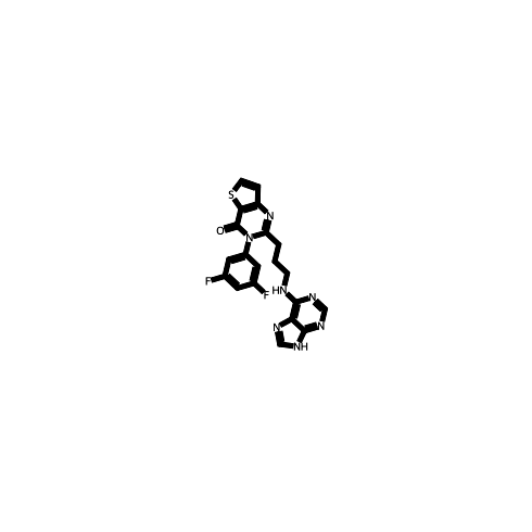 O=c1c2sccc2nc(CCCNc2ncnc3[nH]cnc23)n1-c1cc(F)cc(F)c1